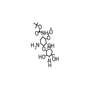 CN[C@@H]1[C@@H](O)[C@@H](O[C@@H]2[C@@H](O)[C@H](OCOC)[C@@H](NC(=O)OC(C)(C)C)C[C@H]2N)OC[C@]1(C)O